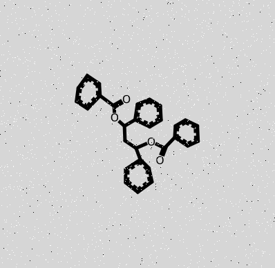 O=C(OC(CC(OC(=O)c1ccccc1)c1ccccc1)c1ccccc1)c1ccccc1